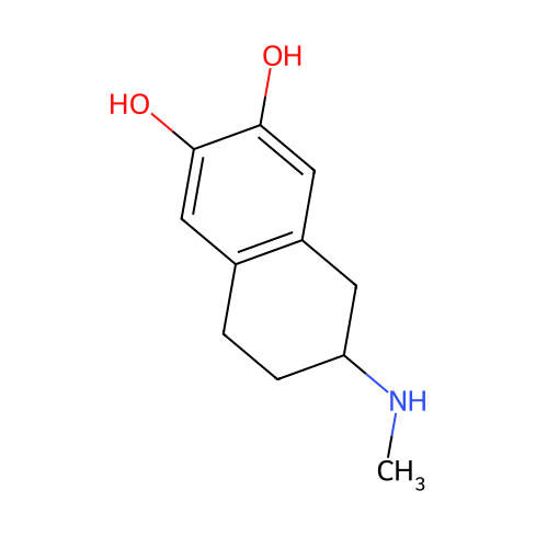 CNC1CCc2cc(O)c(O)cc2C1